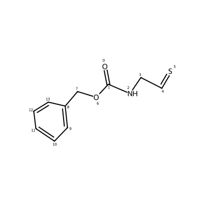 O=C(NCC=S)OCc1ccccc1